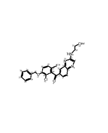 O=C(c1ccc2ncc(NCCO)nc2c1)c1c(F)ccc(OCc2ccccc2)c1Cl